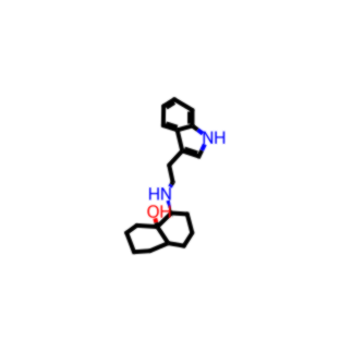 OC12CCCCC1CCC[C@@H]2NCCc1c[nH]c2ccccc12